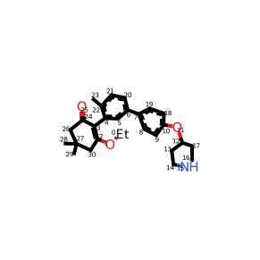 CCOC1=C(c2cc(-c3ccc(OC4CCNCC4)cc3)ccc2C)C(=O)CC(C)(C)C1